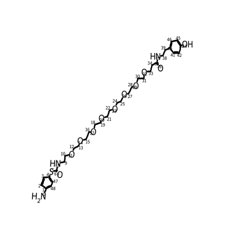 Nc1ccc(SC(=O)NCCOCCOCCOCCOCCOCCOCCOCCOCCC(=O)NCCc2ccc(O)cc2)cc1